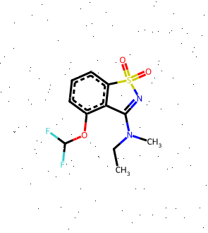 CCN(C)C1=NS(=O)(=O)c2cccc(OC(F)F)c21